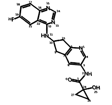 O=C(Nc1cnc2c(c1)CC(Nc1ncnc3ccc(F)cc13)C2)C1(O)CC1